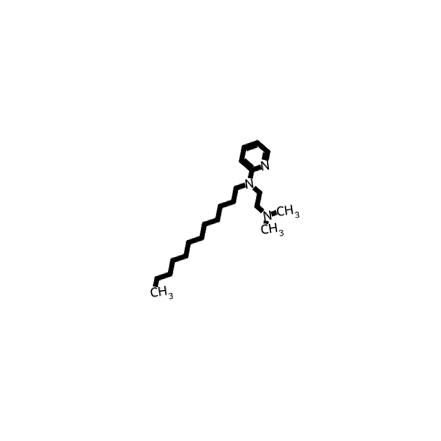 CCCCCCCCCCCCN(CCN(C)C)c1ccccn1